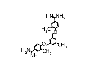 Cc1cc(COc2ccc(C(=N)N)cc2C)cc(COc2ccc(C(=N)N)cc2C)c1